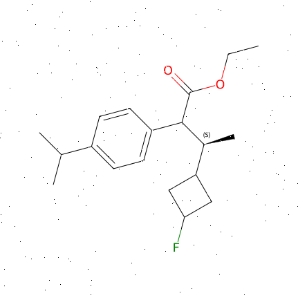 CCOC(=O)C(c1ccc(C(C)C)cc1)[C@@H](C)C1CC(F)C1